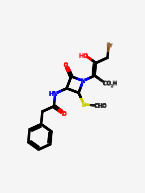 O=CSC1C(NC(=O)Cc2ccccc2)C(=O)N1C(C(=O)O)=C(O)CBr